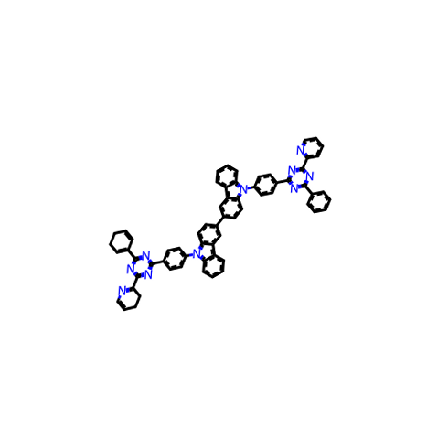 C1=CC(c2nc(C3=NC=CCC3)nc(-c3ccc(-n4c5ccccc5c5cc(-c6ccc7c(c6)c6ccccc6n7-c6ccc(-c7nc(-c8ccccc8)nc(-c8ccccn8)n7)cc6)ccc54)cc3)n2)=CCC1